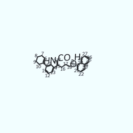 O=C(O)c1[nH]c2c(C3=CCCCC3)cccc2c1CCCOc1cccc2ccccc12